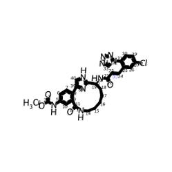 COC(=O)Nc1ccc2c(c1)C(=O)NCCCCC[C@H](NC(=O)/C=C/c1cc(Cl)ccc1-n1cnnn1)c1nc-2c[nH]1